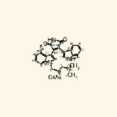 COC(CN(C)C)Cn1cc(C2=C(c3c[nH]c4ccccc34)C(=O)NC2=O)c2c(F)cccc21